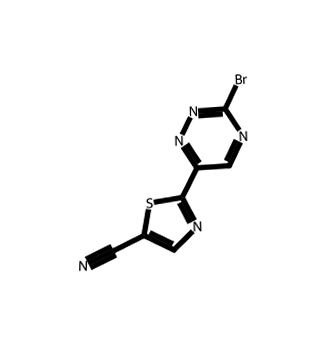 N#Cc1cnc(-c2cnc(Br)nn2)s1